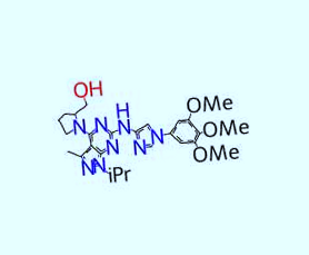 COc1cc(-n2cnc(Nc3nc(N4CCCC4CO)c4c(C)nn(C(C)C)c4n3)c2)cc(OC)c1OC